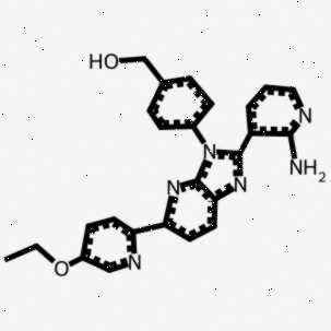 CCOc1ccc(-c2ccc3nc(-c4cccnc4N)n(-c4ccc(CO)cc4)c3n2)nc1